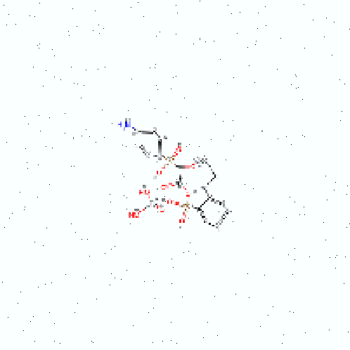 CCCCCCCCCCCCc1ccccc1S(=O)(=O)OC(=O)C(=O)S(=O)(=O)c1ccc(N)cc1.[O]=[Ti]([OH])[OH]